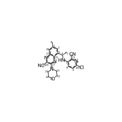 Cc1cc([C@@H](C)Nc2ccc(Cl)nc2C#N)c2nc(N3CCOCC3)c(C#N)nc2c1